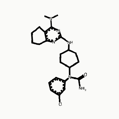 CN(C)c1nc(NC2CCC(N(C(N)=O)c3cccc(Cl)c3)CC2)nc2c1CCCC2